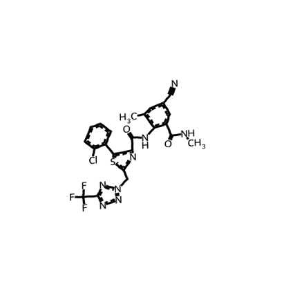 CNC(=O)c1cc(C#N)cc(C)c1NC(=O)c1nc(Cn2nnc(C(F)(F)F)n2)sc1-c1ccccc1Cl